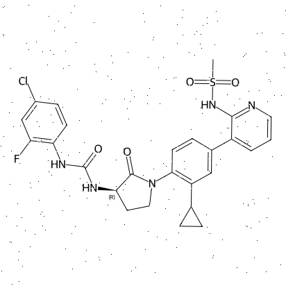 CS(=O)(=O)Nc1ncccc1-c1ccc(N2CC[C@@H](NC(=O)Nc3ccc(Cl)cc3F)C2=O)c(C2CC2)c1